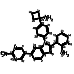 Nc1ncc(-c2ccc3nc(-c4cccnc4N)n(-c4ccc(C5(N)CCC5)cc4)c3n2)cn1